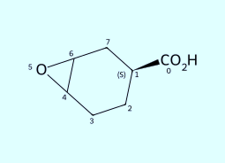 O=C(O)[C@H]1CCC2OC2C1